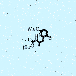 COc1ccc(Br)c(CC(C)NC(=O)OC(C)(C)C)n1